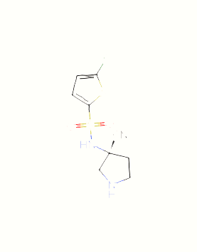 N#C[C@@]1(NS(=O)(=O)c2ccc(Cl)s2)CCNC1